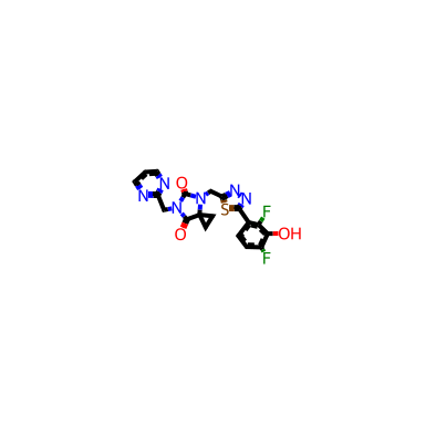 O=C1N(Cc2ncccn2)C(=O)C2(CC2)N1Cc1nnc(-c2ccc(F)c(O)c2F)s1